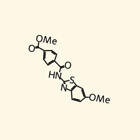 COC(=O)c1ccc(C(=O)Nc2nc3ccc(OC)cc3s2)cc1